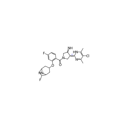 CC1=N/C(=C2\CN(C(=O)c3ccc(F)cc3OC3CC4CC(F)C(C3)N4)CC2=N)NC(C)=C1Cl